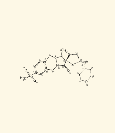 CC1C2Cc3ccc(S(C)(=O)=O)cc3CN2C(=O)[C@]12CC[C@@H](NC1CCOCC1)C2